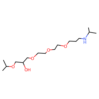 CC(C)NCCCOCCOCCOCC(O)COC(C)C